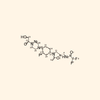 C=C1O[C@@H](CNC(=O)C(F)F)CN1c1ccc(N2C=NN(C(=O)CO)CC2)c(F)c1